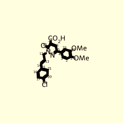 COc1ccc(-c2cc(C(=O)O)c(=O)n(CC=Cc3ccc(Cl)cc3)n2)cc1OC